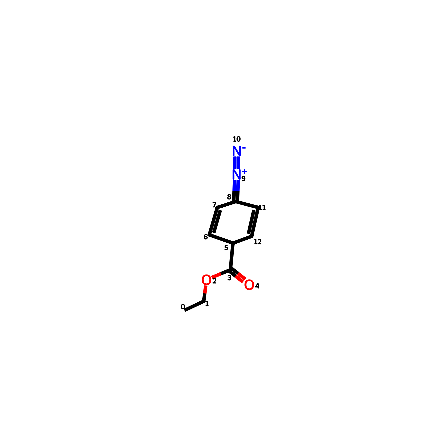 CCOC(=O)C1C=CC(=[N+]=[N-])C=C1